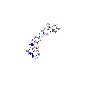 O=C(N[C@H]1CC[C@H](CCN2CCC(C(=O)c3ccc(F)cc3)CC2)CC1)c1ccnc2ncccc12